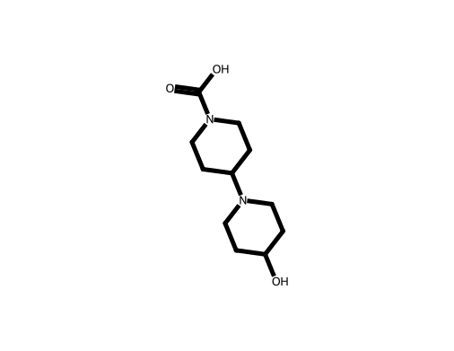 O=C(O)N1CCC(N2CCC(O)CC2)CC1